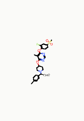 Cc1ccc(C(C=O)N2CCC(Oc3ncnc(Oc4ccc(S(C)(=O)=O)cc4F)c3C)CC2)cc1